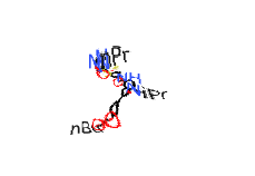 CCCCOCCOc1ccc(-c2ccc3c(c2)C=C(C(=O)Nc2ccc([S+]([O-])Cc4c(C)ncn4CCC)cc2)CCCN3CC(C)C)cc1